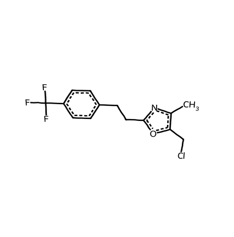 Cc1nc(CCc2ccc(C(F)(F)F)cc2)oc1CCl